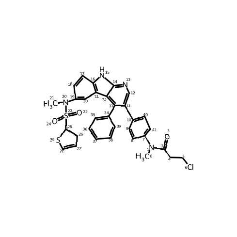 CN(C(=O)CCCl)c1ccc(-c2cnc3[nH]c4ccc(N(C)S(=O)(=O)C5CC=CS5)cc4c3c2-c2ccccc2)cc1